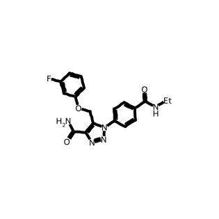 CCNC(=O)c1ccc(-n2nnc(C(N)=O)c2COc2cccc(F)c2)cc1